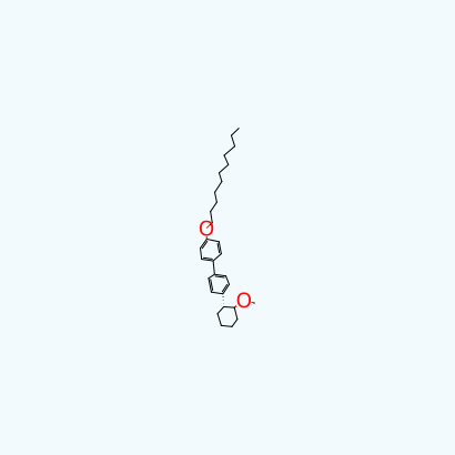 CCCCCCCCCCCOc1ccc(-c2ccc([C@H]3CCCC[C@@H]3OC)cc2)cc1